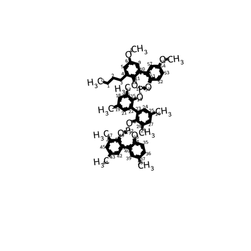 CCCCc1cc(OC)cc2c1op(Oc1c(C)cc(C)cc1-c1cc(C)cc(C)c1Op1oc3ccc(C)cc3c3cc(C)cc(C)c3o1)oc1ccc(OC)cc12